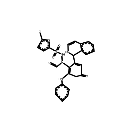 O=CN(NS(=O)(=O)c1ccc(Cl)s1)C1=C(Nc2ccccc2)CC(=O)C=C1C1NC=Cc2ccccc21